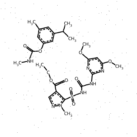 CCOC(=O)c1cnn(C)c1S(=O)(=O)NC(=O)Nc1nc(OC)cc(OC)n1.CNC(=O)Oc1cc(C)cc(C(C)C)c1